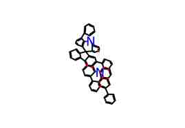 c1ccc(-c2ccc(N(c3ccccc3-c3ccc4c(c3)C3(c5ccccc5-4)c4ccccc4-n4c5ccccc5c5cccc3c54)c3ccccc3-c3ccccc3-c3ccccc3)cc2)cc1